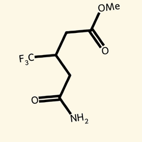 COC(=O)CC(CC(N)=O)C(F)(F)F